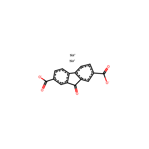 O=C([O-])c1ccc2c(c1)C(=O)c1cc(C(=O)[O-])ccc1-2.[Na+].[Na+]